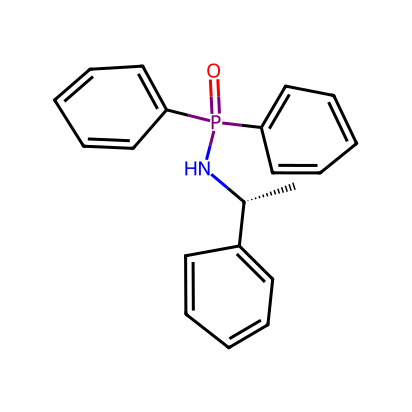 C[C@@H](NP(=O)(c1ccccc1)c1ccccc1)c1ccccc1